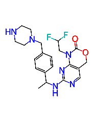 CC(Nc1ncc2c(n1)N(CC(F)F)C(=O)OC2)c1ccc(CN2CCNCC2)cc1